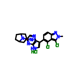 Cl.Cn1nc2ccc(-c3c[nH]c4nc(N5C6CCC5CC(N)C6)cnc34)c(Cl)c2c1Cl